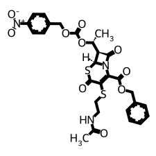 CC(=O)NCCSC1=C(C(=O)OCc2ccccc2)N2C(=O)[C@H]([C@@H](C)OC(=O)OCc3ccc([N+](=O)[O-])cc3)[C@@H]2SC1=O